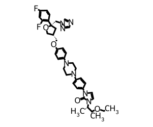 CCO[C@@H](C)[C@H](C)n1ccn(-c2ccc(N3CCN(c4ccc(OC[C@@H]5CO[C@@](Cn6cncn6)(c6ccc(F)cc6F)C5)cc4)CC3)cc2)c1=O